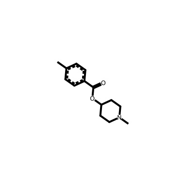 Cc1ccc(C(=O)OC2CCN(C)CC2)cc1